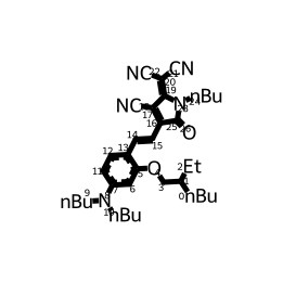 CCCCC(CC)COc1cc(N(CCCC)CCCC)ccc1/C=C/C1=C(C#N)C(=C(C#N)C#N)N(CCCC)C1=O